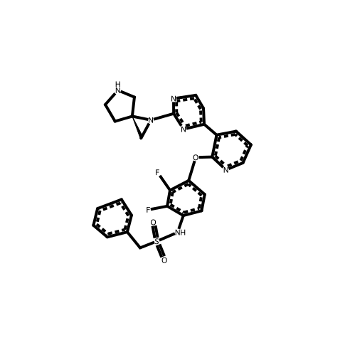 O=S(=O)(Cc1ccccc1)Nc1ccc(Oc2ncccc2-c2ccnc(N3C[C@]34CCNC4)n2)c(F)c1F